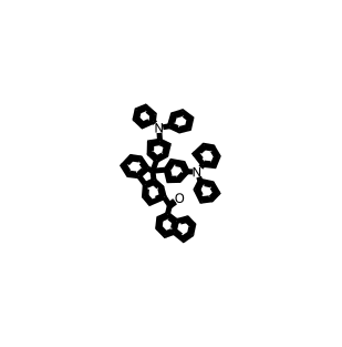 O=C(c1ccc2c(c1)C(c1ccc(N(c3ccccc3)c3ccccc3)cc1)(c1ccc(N(c3ccccc3)c3ccccc3)cc1)c1ccccc1-2)c1cccc2ccccc12